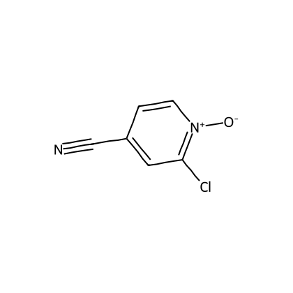 N#Cc1cc[n+]([O-])c(Cl)c1